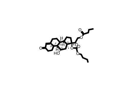 CCCCOC(=O)O[C@]1(C(=O)COC(=O)CCC)CC[C@H]2[C@@H]3CCC4=CC(=O)CC[C@]4(C)[C@H]3[C@@H](O)C[C@@]21C